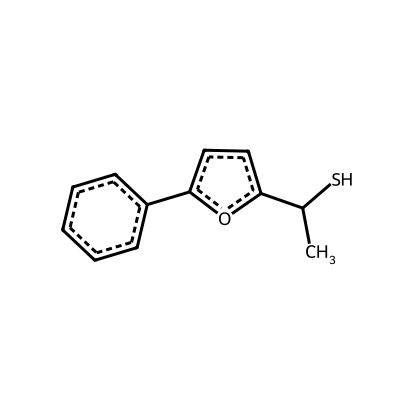 CC(S)c1ccc(-c2ccccc2)o1